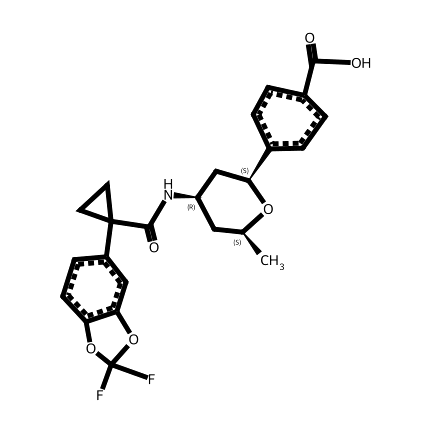 C[C@H]1C[C@@H](NC(=O)C2(c3ccc4c(c3)OC(F)(F)O4)CC2)C[C@@H](c2ccc(C(=O)O)cc2)O1